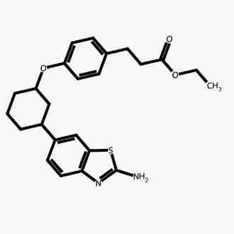 CCOC(=O)CCc1ccc(OC2CCCC(c3ccc4nc(N)sc4c3)C2)cc1